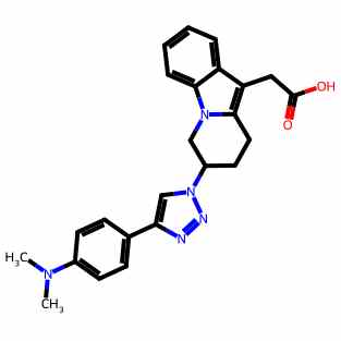 CN(C)c1ccc(-c2cn(C3CCc4c(CC(=O)O)c5ccccc5n4C3)nn2)cc1